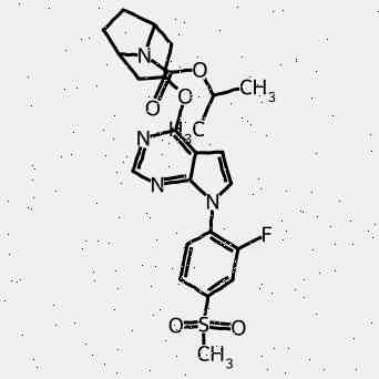 CC(C)OC(=O)N1C2CCC1CC(Oc1ncnc3c1ccn3-c1ccc(S(C)(=O)=O)cc1F)C2